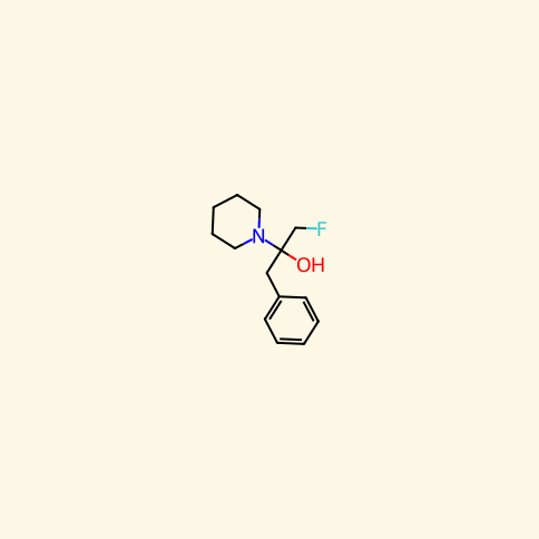 OC(CF)(Cc1ccccc1)N1CCCCC1